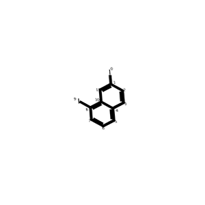 Ic1ccc2cccc(I)c2c1